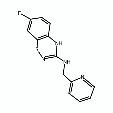 Fc1ccc2c(c1)SN=C(NCc1ccccn1)N2